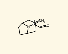 C=C1CC2CCC(C1)N2BC=O